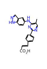 Cc1cnc(-c2ccc(C=CC(=O)O)cc2)nc1Nc1ccc2[nH]ncc2c1